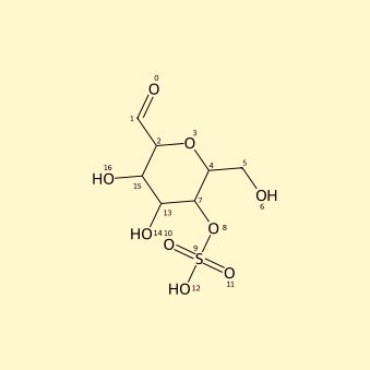 O=CC1OC(CO)C(OS(=O)(=O)O)C(O)C1O